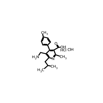 Cc1ccc(-c2c(CN)c(CC(C)C)nc(C)c2C(=O)O)cc1.Cl.Cl